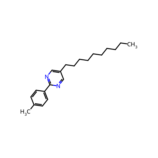 CCCCCCCCCCc1cnc(-c2ccc(C)cc2)nc1